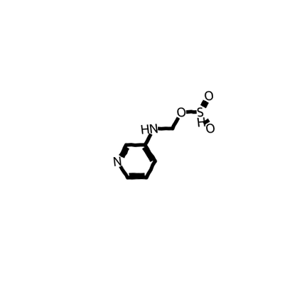 O=[SH](=O)OCNc1cccnc1